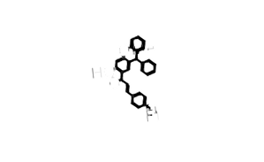 CCOc1ccc(/C=C/C(=O)c2cc(C(c3ccccc3)c3ccccc3)c(OC)cc2O)cc1